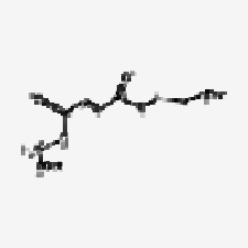 CCCCCCCCCCCCOC(=O)C=CC(=O)O[SiH2]CCCCCCCC